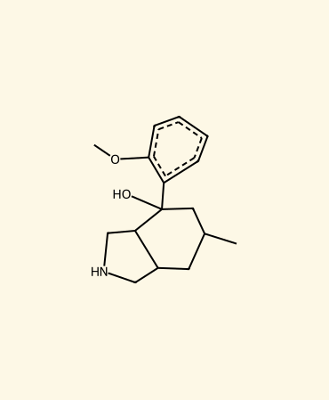 COc1ccccc1C1(O)CC(C)CC2CNCC21